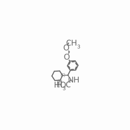 CNC(c1cccc(OCOC)c1)[C@@H]1CCCC[C@H]1O